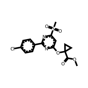 COC(=O)C1(Oc2cc(S(C)(=O)=O)nc(-c3ccc(Cl)cc3)n2)CC1